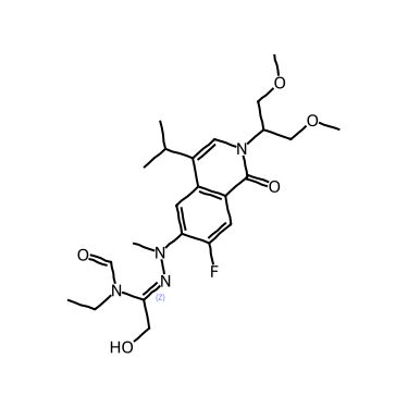 CCN(C=O)/C(CO)=N\N(C)c1cc2c(C(C)C)cn(C(COC)COC)c(=O)c2cc1F